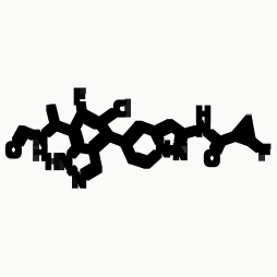 CC(NC=O)c1c(F)c(Cl)c(-c2ccn3nc(NC(=O)C4CC4F)cc3c2)c2cn[nH]c12